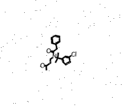 CC(=O)CCN(C(=O)Cc1ccccc1)C(C)(C)c1cccc(Cl)c1